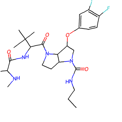 CCCNC(=O)N1CC(Oc2ccc(F)c(F)c2)C2C1CCN2C(=O)C(NC(=O)C(C)NC)C(C)(C)C